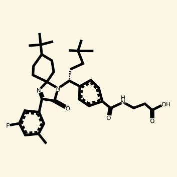 Cc1cc(F)cc(C2=NC3(CCC(C(C)(C)C)CC3)N([C@H](CCC(C)(C)C)c3ccc(C(=O)NCCC(=O)O)cc3)C2=O)c1